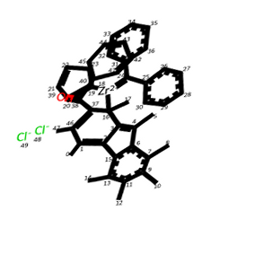 CC1=C2C(=C(C)c3c(C)c(C)c(C)c(C)c32)[C](C)([Zr+2]([C]2=CC=CC2)=[C](c2ccccc2)c2ccccc2)C(C(=O)C2C=CC=CC2)=C1C.[Cl-].[Cl-]